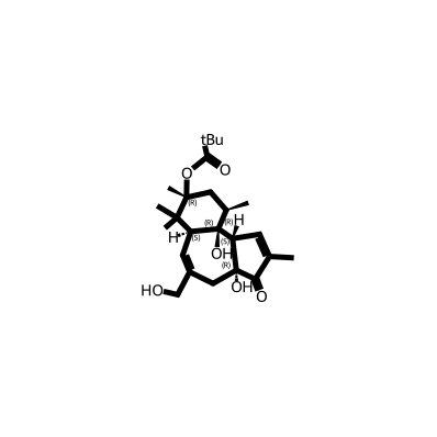 CC1=C[C@H]2[C@@]3(O)[C@H](C)C[C@@](C)(OC(=O)C(C)(C)C)C(C)(C)[C@@H]3C=C(CO)C[C@]2(O)C1=O